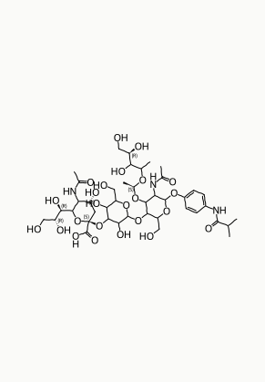 CC(=O)NC1C(Oc2ccc(NC(=O)C(C)C)cc2)OC(CO)C(OC2OC(CO)C(O)C(O[C@]3(C(=O)O)C[C@@H](O)C(NC(C)=O)C([C@H](O)[C@H](O)CO)O3)C2O)C1O[C@@H](C)OC(C)C(O)[C@H](O)CO